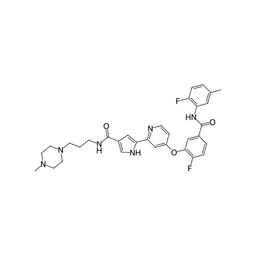 Cc1ccc(F)c(NC(=O)c2ccc(F)c(Oc3ccnc(-c4cc(C(=O)NCCCN5CCN(C)CC5)c[nH]4)c3)c2)c1